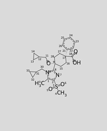 Cc1c(S(C)(=O)=O)nc([C@]2(OCC3CC3)CC[C@@](C(=O)O)(c3ccccc3)CC2)n1CC1CC1